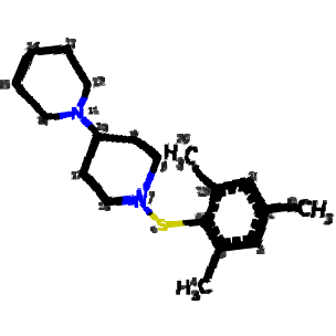 Cc1cc(C)c(SN2CCC(N3CCCCC3)CC2)c(C)c1